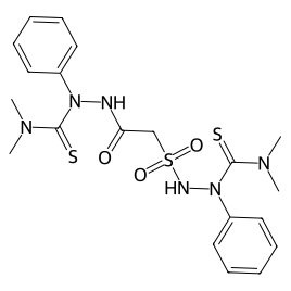 CN(C)C(=S)N(NC(=O)CS(=O)(=O)NN(C(=S)N(C)C)c1ccccc1)c1ccccc1